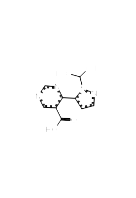 CC(C)n1nccc1-c1ncncc1C(=O)O